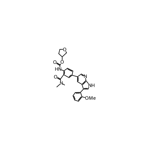 COc1ccccc1-c1c[nH]c2ncc(-c3ccc(NC(=O)OC4CCOC4)c(C(=O)N(C)C)c3)cc12